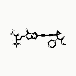 COC(=O)[C@H](N1CCOCC1)C1(C#CC#Cc2cc3n(c2)C(=O)N(CC[C@](C)(C(=O)NO)S(C)(=O)=O)C3)CC1